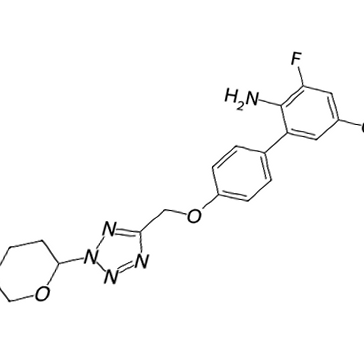 Nc1c(F)cc(Cl)cc1-c1ccc(OCc2nnn(C3CCCCO3)n2)cc1